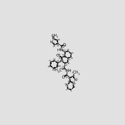 Cc1nn2cccnc2c1C(=O)N[C@@H](C)c1cc2cccc(NC(=O)c3cnn(C)c3)c2c(=O)n1-c1ccccc1